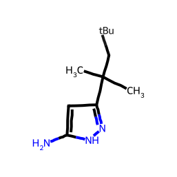 CC(C)(C)CC(C)(C)c1cc(N)[nH]n1